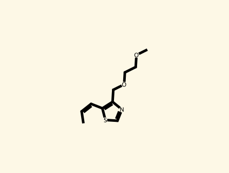 C/C=C\c1scnc1COCCOC